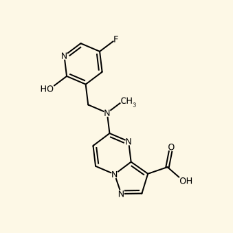 CN(Cc1cc(F)cnc1O)c1ccn2ncc(C(=O)O)c2n1